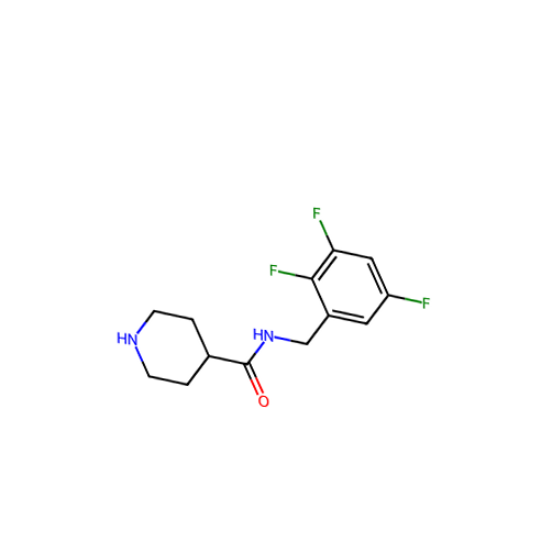 O=C(NCc1cc(F)cc(F)c1F)C1CCNCC1